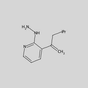 C=C(CC(C)C)c1cccnc1NN